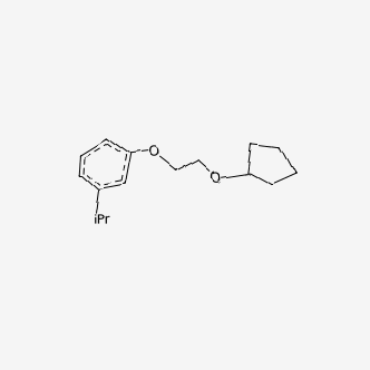 CC(C)c1cccc(OCCOC2CCCC2)c1